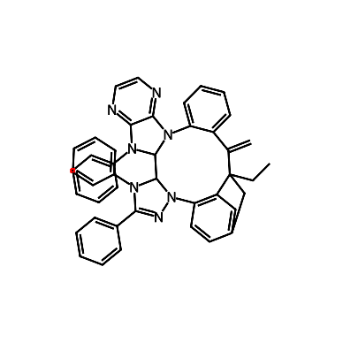 C=C1c2ccccc2N2c3nccnc3N(c3ccccc3)C2C2N(N=C(c3ccccc3)N2c2ccccc2)c2ccc3cc2C1(CC)C3